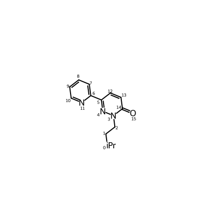 CC(C)CCn1nc(-c2ccccn2)ccc1=O